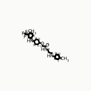 Cc1ccc(NCCCNC(=O)COC2CCC(Nc3ccc(C)c(C(F)(F)F)c3)CC2)cc1